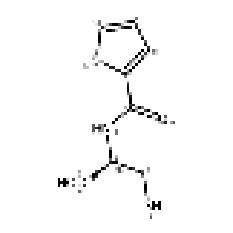 O=C(N[C@@H](CS)C(=O)O)c1cccs1